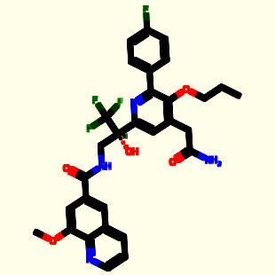 CCCOc1c(CC(N)=O)cc([C@@](O)(CNC(=O)c2cc(OC)c3ncccc3c2)C(F)(F)F)nc1-c1ccc(F)cc1